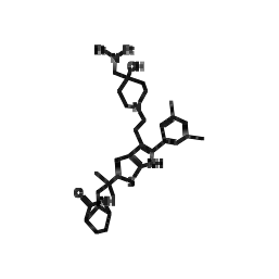 CCN(CC)CC1(O)CCN(CCc2c(-c3cc(C)cc(C)c3)[nH]c3sc(C(C)(C)CC4C5CCC4C(=O)N5)cc23)CC1